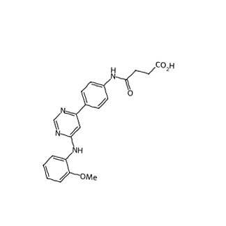 COc1ccccc1Nc1cc(-c2ccc(NC(=O)CCC(=O)O)cc2)ncn1